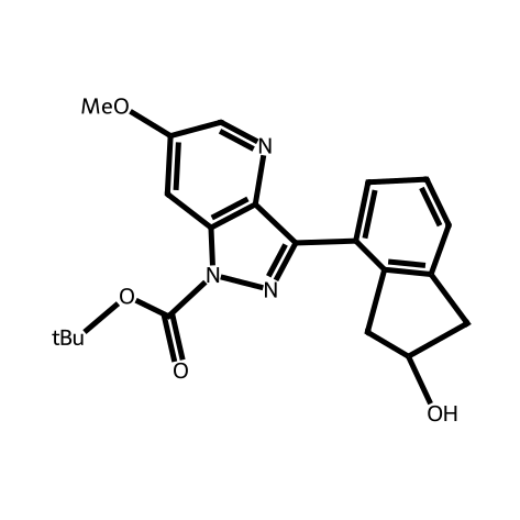 COc1cnc2c(-c3cccc4c3CC(O)C4)nn(C(=O)OC(C)(C)C)c2c1